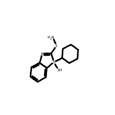 NSC1=Nc2ccccc2S1(S)C1CCCCC1